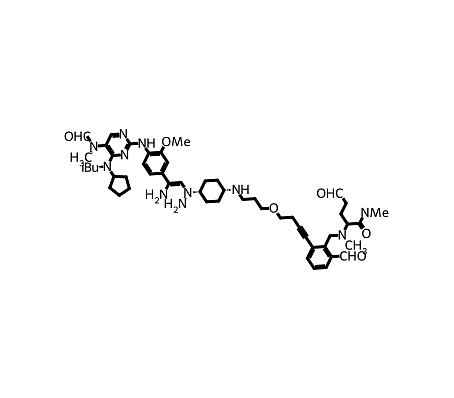 CC[C@H](C)N(c1nc(Nc2ccc(/C(N)=C/N(N)[C@H]3CC[C@@H](NCCCOCCC#Cc4cccc(C=O)c4CN(C)C(CCC=O)C(=O)NC)CC3)cc2OC)ncc1N(C)C=O)C1CCCC1